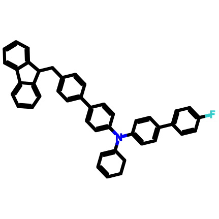 Fc1ccc(-c2ccc(N(C3=CC=CCC3)c3ccc(-c4ccc(CC5c6ccccc6-c6ccccc65)cc4)cc3)cc2)cc1